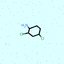 NC1[CH]CC(Cl)CC1Cl